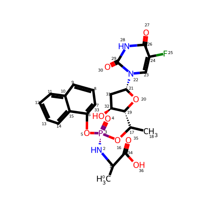 CC(N[P@@](=O)(Oc1cccc2ccccc12)OC(C)[C@H]1O[C@@H](n2cc(F)c(=O)[nH]c2=O)C[C@@H]1O)C(=O)O